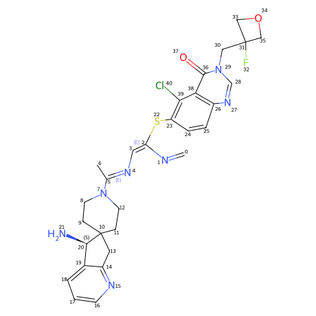 C=N/C(=C\N=C(/C)N1CCC2(CC1)Cc1ncccc1[C@H]2N)Sc1ccc2ncn(CC3(F)COC3)c(=O)c2c1Cl